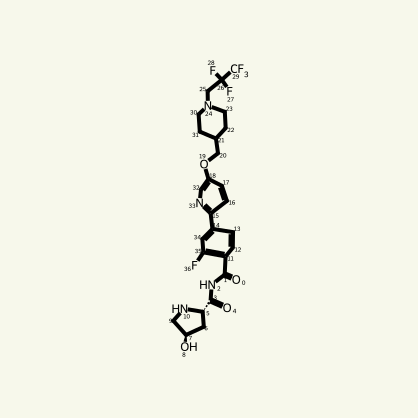 O=C(NC(=O)[C@@H]1C[C@@H](O)CN1)c1ccc(-c2ccc(OCC3CCN(CC(F)(F)C(F)(F)F)CC3)cn2)cc1F